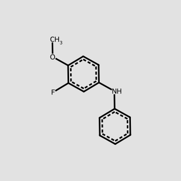 COc1ccc(Nc2ccccc2)cc1F